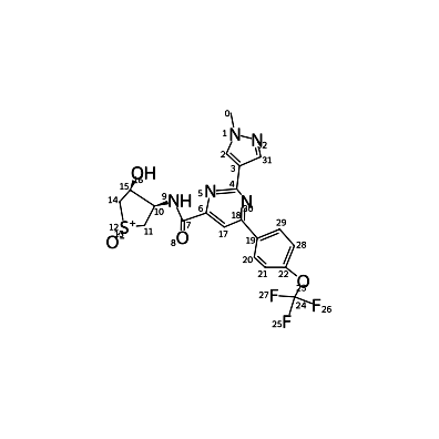 Cn1cc(-c2nc(C(=O)N[C@H]3C[S+]([O-])C[C@H]3O)cc(-c3ccc(OC(F)(F)F)cc3)n2)cn1